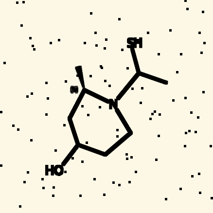 CC(S)N1CCC(O)C[C@@H]1C